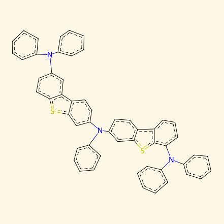 c1ccc(N(c2ccc3c(c2)sc2ccc(N(c4ccccc4)c4ccccc4)cc23)c2ccc3c(c2)sc2c(N(c4ccccc4)c4ccccc4)cccc23)cc1